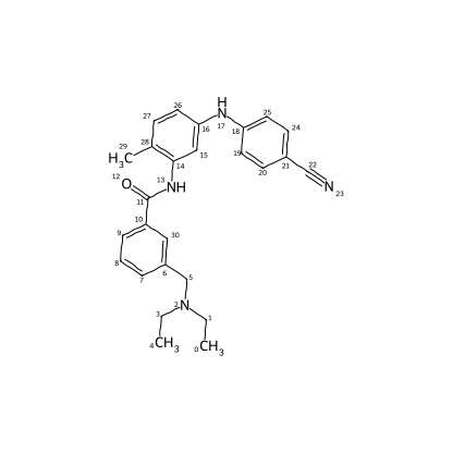 CCN(CC)Cc1cccc(C(=O)Nc2cc(Nc3ccc(C#N)cc3)ccc2C)c1